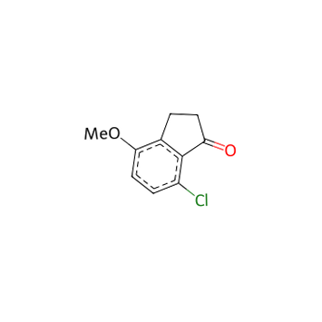 COc1ccc(Cl)c2c1CCC2=O